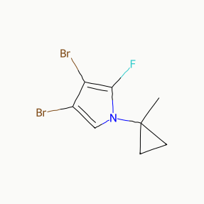 CC1(n2cc(Br)c(Br)c2F)CC1